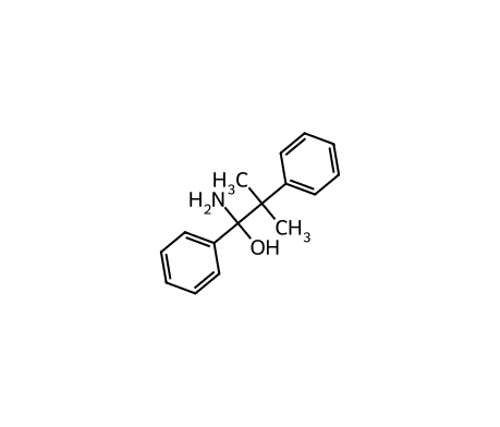 CC(C)(c1ccccc1)C(N)(O)c1ccccc1